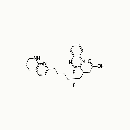 O=C(O)CC(CC(F)(F)CCCCc1ccc2c(n1)NCCC2)c1cnc2ccccc2n1